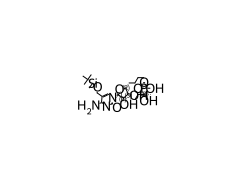 CCC(C[C@H]1O[C@@H](n2cc(CO[Si](C)(C)C(C)(C)C)c(N)nc2=O)[C@H](O)[C@@H]1O)OP(=O)(O)[C@@](C)(O)CC